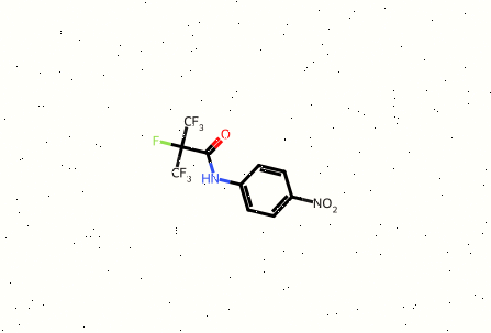 O=C(Nc1ccc([N+](=O)[O-])cc1)C(F)(C(F)(F)F)C(F)(F)F